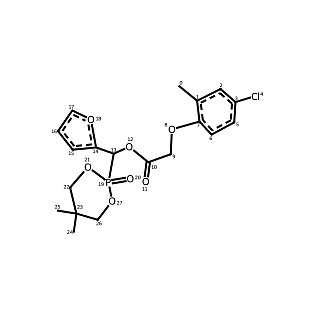 Cc1cc(Cl)ccc1OCC(=O)OC(c1ccco1)P1(=O)OCC(C)(C)CO1